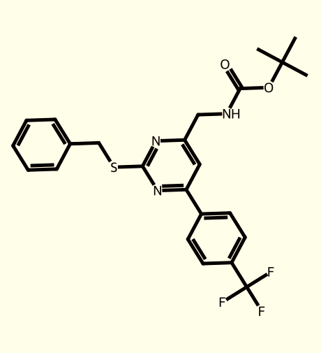 CC(C)(C)OC(=O)NCc1cc(-c2ccc(C(F)(F)F)cc2)nc(SCc2ccccc2)n1